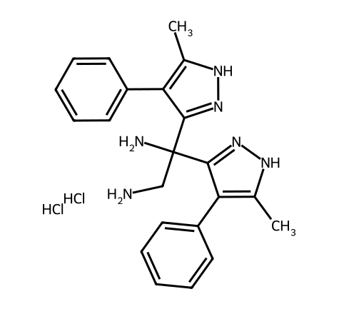 Cc1[nH]nc(C(N)(CN)c2n[nH]c(C)c2-c2ccccc2)c1-c1ccccc1.Cl.Cl